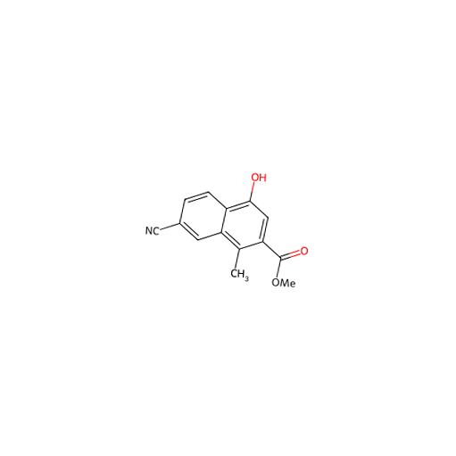 COC(=O)c1cc(O)c2ccc(C#N)cc2c1C